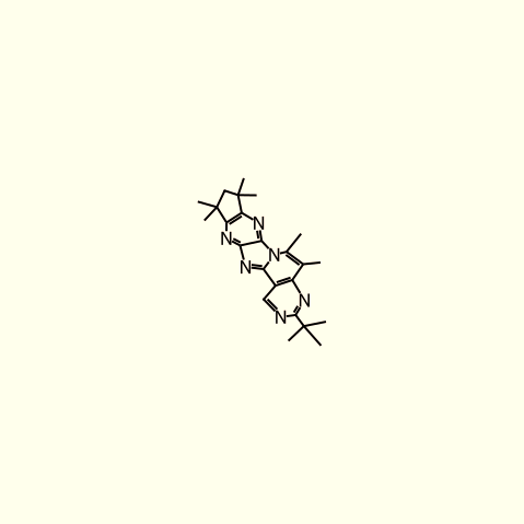 Cc1c(C)n2c3nc4c(nc3nc2c2cnc(C(C)(C)C)nc12)C(C)(C)CC4(C)C